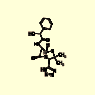 CC1(C)S[C@H]2C(NC(=O)C(O)c3ccccc3)C(=O)N2C1c1nnn[nH]1